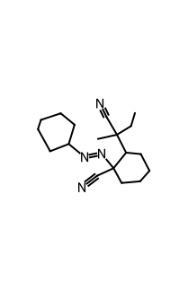 CCC(C)(C#N)C1CCCCC1(C#N)N=NC1CCCCC1